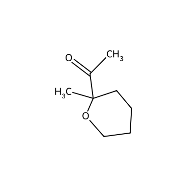 CC(=O)C1(C)CCCCO1